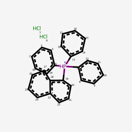 Cl.Cl.c1ccc([PH](c2ccccc2)(c2ccccc2)c2cccc3ccccc23)cc1